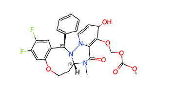 COC(=O)OCOC1=C2C(=O)N(C)[C@@H]3CCOc4cc(F)c(F)cc4[C@@H](c4ccccc4)N3N2C=CC1O